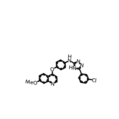 COc1ccc2c(Oc3ccc(Nc4nnc(-c5cccc(Cl)c5)[nH]4)cc3)ccnc2c1